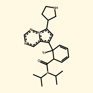 [2H]C1(c2cc(C3CCNC3)n3ncncc23)C=CC=CC1C(=O)N(C(C)C)C(C)C